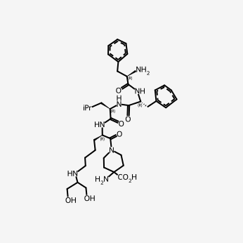 CC(C)C[C@@H](NC(=O)[C@@H](Cc1ccccc1)NC(=O)[C@H](N)Cc1ccccc1)C(=O)N[C@H](CCCCNC(CO)CO)C(=O)N1CCC(N)(C(=O)O)CC1